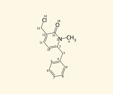 Cn1c(Cc2ccccc2)ccc(CCl)c1=O